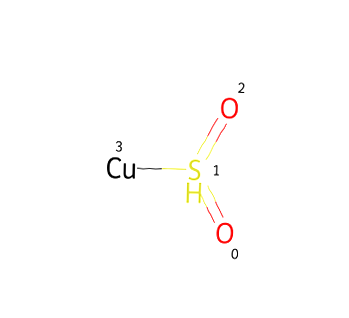 O=[SH](=O)[Cu]